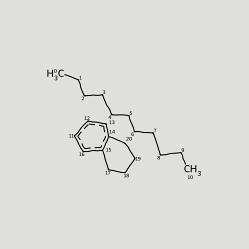 CCCCCCCCCCC.c1ccc2c(c1)CCCC2